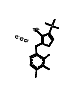 Cc1ccc(CC2=[C]([Ti+3])C([Si](C)(C)C)=CC2)c(C)c1C.[Cl-].[Cl-].[Cl-]